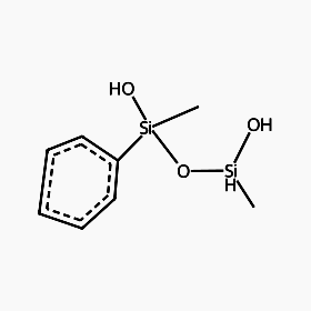 C[SiH](O)O[Si](C)(O)c1ccccc1